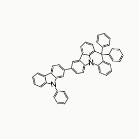 c1ccc(-n2c3ccccc3c3ccc(-c4ccc5c(c4)c4cccc6c4n5-c4ccccc4C6(c4ccccc4)c4ccccc4)cc32)cc1